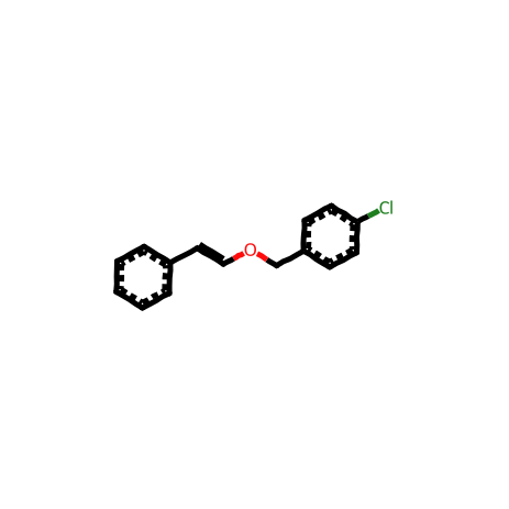 Clc1ccc(COC=Cc2ccccc2)cc1